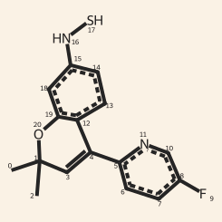 CC1(C)C=C(c2ccc(F)cn2)c2ccc(NS)cc2O1